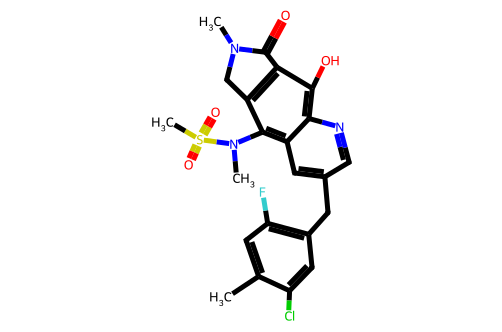 Cc1cc(F)c(Cc2cnc3c(O)c4c(c(N(C)S(C)(=O)=O)c3c2)CN(C)C4=O)cc1Cl